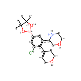 CC1(C)OB(c2cc(Cl)c(C3=CCOCC3)c(C3COCCN3)c2)OC1(C)C